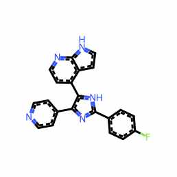 Fc1ccc(-c2nc(-c3ccncc3)c(-c3ccnc4[nH]ccc34)[nH]2)cc1